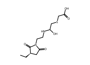 CC[C@@H]1CC(=O)N(CCNC(O)CSCC(=O)O)C1=O